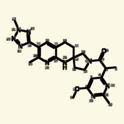 COc1cc(C(C)C(=O)N2CCC3(CCc4cc(-c5nnn(C)n5)c(C)nc4N3)C2)nc(C)n1